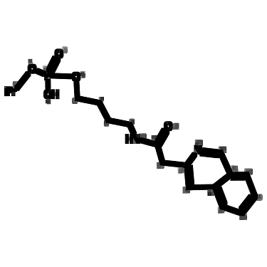 CC(C)OP(=O)(O)OCCCCNC(=O)Cc1cc2ccccc2cn1